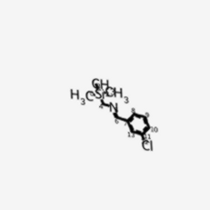 C[Si](C)(C)C/N=C/c1cccc(Cl)c1